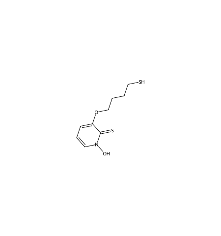 On1cccc(OCCCCS)c1=S